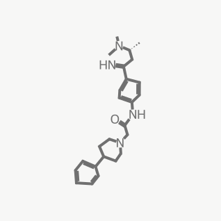 C[C@H](CC(=N)c1ccc(NC(=O)CN2CCC(c3ccccc3)CC2)cc1)N(C)C